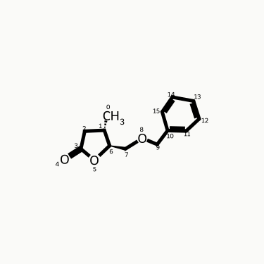 C[C@H]1CC(=O)O[C@@H]1COCc1ccccc1